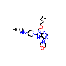 C[Si](C)(C)CCOCn1c(N2CCC(NC(=O)O)CC2)nc2c(N3CCOCC3)ncnc21